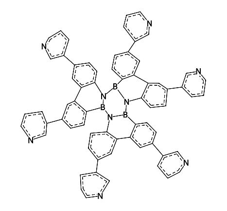 c1cncc(-c2ccc3c(c2)-c2cc(-c4cccnc4)ccc2N2B3N3B(c4ccc(-c5cccnc5)cc4-c4cc(-c5cccnc5)ccc43)N3B2c2ccc(-c4cccnc4)cc2-c2cc(-c4cccnc4)ccc23)c1